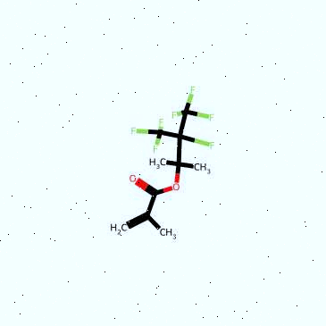 C=C(C)C(=O)OC(C)(C)C(F)(C(F)(F)F)C(F)(F)F